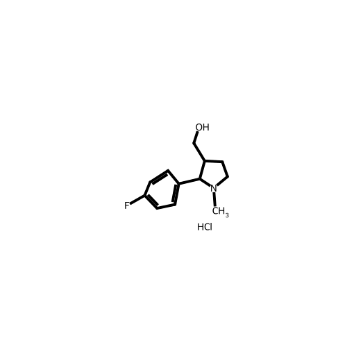 CN1CCC(CO)C1c1ccc(F)cc1.Cl